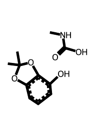 CC1(C)Oc2cccc(O)c2O1.CNC(=O)O